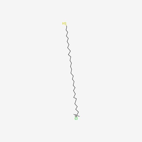 C[Si](C)(Cl)CCCCCCCCCCCCCCCCCCCCCCCCCCCCCS